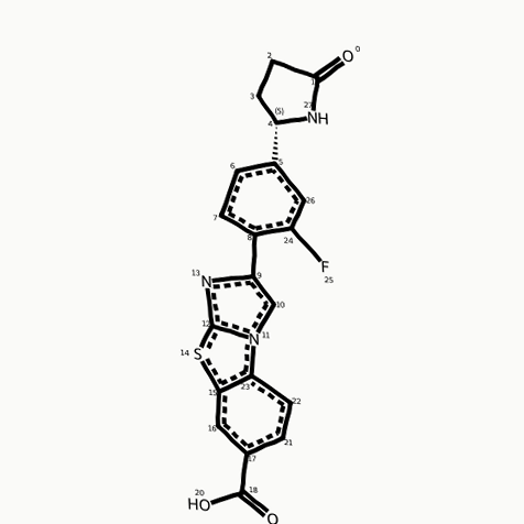 O=C1CC[C@@H](c2ccc(-c3cn4c(n3)sc3cc(C(=O)O)ccc34)c(F)c2)N1